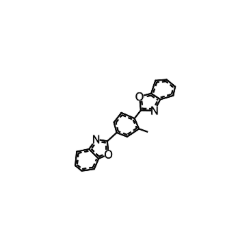 Cc1cc(-c2nc3ccccc3o2)ccc1-c1nc2ccccc2o1